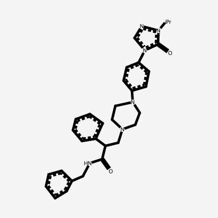 CC(C)n1ncn(-c2ccc(N3CCN(CC(C(=O)NCc4ccccc4)c4ccccc4)CC3)cc2)c1=O